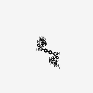 COC(=O)N[C@H](C(=O)N1CCC[C@H]1c1nc(-c2ccc(-c3ccc(-c4c[nH]c([C@@H]5CCCN5C(=O)[C@@H](NC(=O)OC)C(C(F)(F)F)C(F)(F)F)n4)cc3)cc2)c[nH]1)C(C(F)(F)F)C(F)(F)F